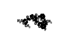 C[C@H]1CN(C(=O)Cn2ccn3c(=O)c(OCc4ccccc4)c(C(=O)SC(C=O)Cc4ccc(F)cc4S(=O)(=O)N(C)C)nc23)C[C@H](C)O1